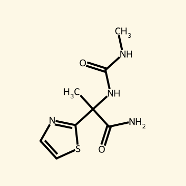 CNC(=O)NC(C)(C(N)=O)c1nccs1